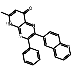 Cc1cc(=O)c2nc(-c3ccc4ncccc4c3)c(-c3ccccc3)nc2[nH]1